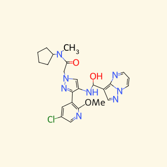 COc1ncc(Cl)cc1-c1nn(CC(=O)N(C)C2CCCC2)cc1NC(O)c1cnn2cccnc12